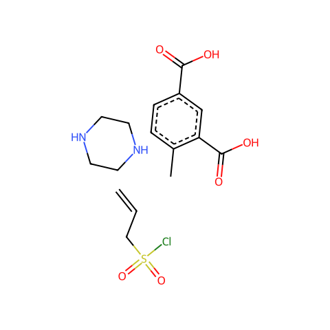 C1CNCCN1.C=CCS(=O)(=O)Cl.Cc1ccc(C(=O)O)cc1C(=O)O